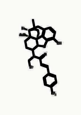 CC(=O)O[C@@]12CCC(N(CC(C)C)C(=O)/C=C/c3ccc(C(F)(F)F)cc3)C3Oc4c(O)ccc5c4[C@@]31CCN(C)[C@@H]2C5